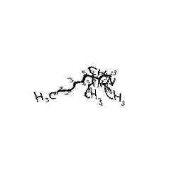 CCCCCCC(C)(CCC)c1ccnc(C)n1